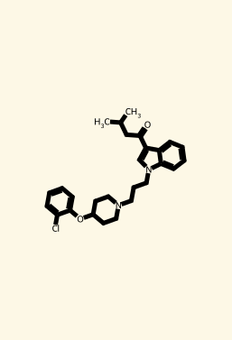 CC(C)CC(=O)c1cn(CCCN2CCC(Oc3ccccc3Cl)CC2)c2ccccc12